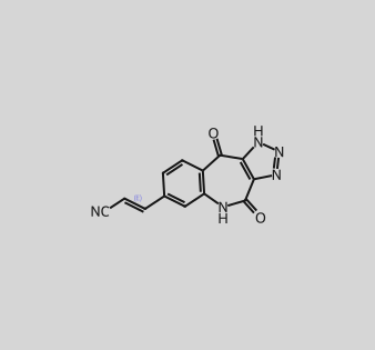 N#C/C=C/c1ccc2c(=O)c3[nH]nnc3c(=O)[nH]c2c1